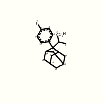 CC(C(=O)O)C1(c2ccc(F)cc2)C2CC3CC(C2)CC1C3